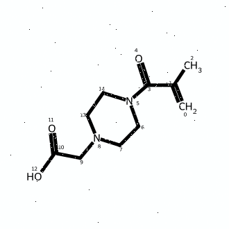 C=C(C)C(=O)N1CCN(CC(=O)O)CC1